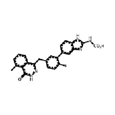 Cc1cccc2c(Cc3ccc(F)c(-c4ccc5[nH]c(NC(=O)O)nc5c4)c3)n[nH]c(=O)c12